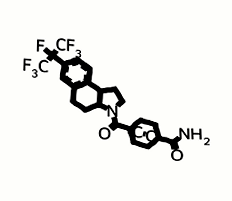 NC(=O)C12CCC(C(=O)N3CCC4c5ccc(C(F)(C(F)(F)F)C(F)(F)F)cc5CCC43)(CC1)CC2